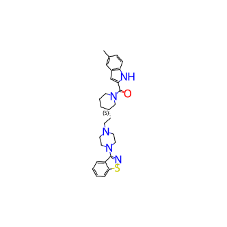 Cc1ccc2[nH]c(C(=O)N3CCC[C@@H](CCN4CCN(c5nsc6ccccc56)CC4)C3)cc2c1